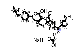 Nc1nc(/C(=N/OCC(=O)O)C(=O)N[C@@H]2C(=O)N3C(C(=O)O)=C(CSc4cc[n+](CC(F)(F)F)cc4)CS[C@H]23)cs1.[NaH]